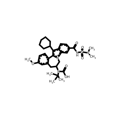 COc1ccc2c(c1)CC(N(C(=O)O)C(C)(C)C)Cn1c-2c(C2CCCCC2)c2ccc(C(=O)NS(=O)(=O)N(C)C)cc21